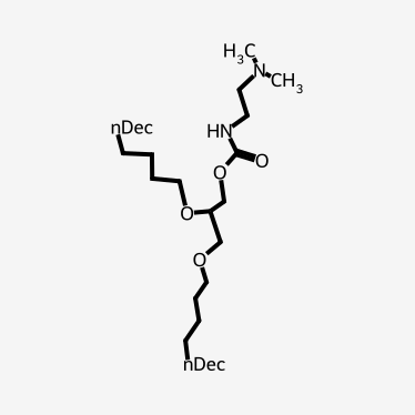 CCCCCCCCCCCCCCOCC(COC(=O)NCCN(C)C)OCCCCCCCCCCCCCC